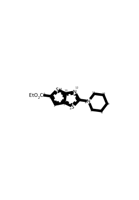 CCOC(=O)c1cc2sc(N3CCCCC3)nc2s1